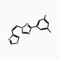 Cc1cc(C)cc(-c2ncn(/C=C\c3cocn3)n2)c1